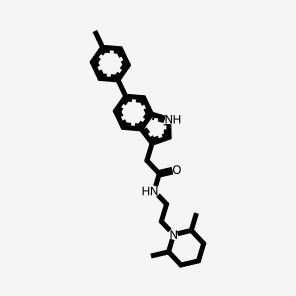 Cc1ccc(-c2ccc3c(CC(=O)NCCN4C(C)CCCC4C)c[nH]c3c2)cc1